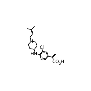 C=C(C(=O)O)c1cnc(NC2CCN(CC=C(C)C)CC2)c(Cl)c1